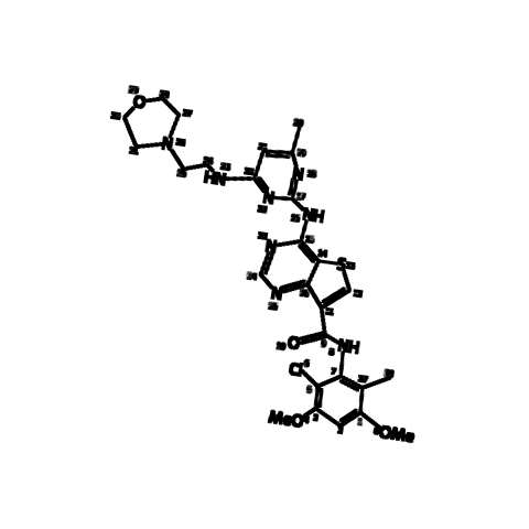 COc1cc(OC)c(Cl)c(NC(=O)c2csc3c(Nc4nc(C)cc(NCCN5CCOCC5)n4)ncnc23)c1C